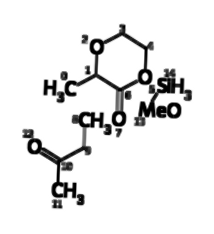 CC1OCCOC1=O.CCC(C)=O.CO[SiH3]